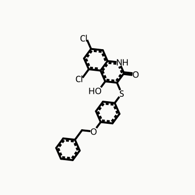 O=c1[nH]c2cc(Cl)cc(Cl)c2c(O)c1Sc1ccc(OCc2ccccc2)cc1